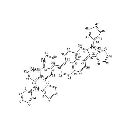 c1ccc(N(c2ccccc2)c2ccnc3c2ccc2c(-c4ccc5ccc6c7c(ccc4c57)cc4c6c5ccccc5n4-c4ccccc4)ccnc23)cc1